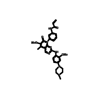 C=CC(=O)Nc1cccc(-n2c(=O)c(OC)c(C)c3cnc(Nc4ccc(N5CCN(C)CC5)cc4OC)nc32)c1